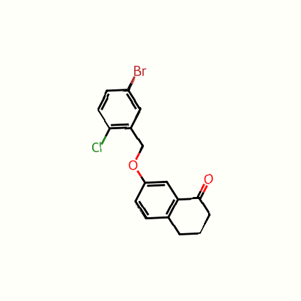 O=C1CCCc2ccc(OCc3cc(Br)ccc3Cl)cc21